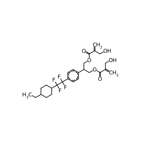 C=C(CO)C(=O)OCC(COC(=O)C(=C)CO)c1ccc(C(F)(F)C(F)(F)C2CCC(CC)CC2)cc1